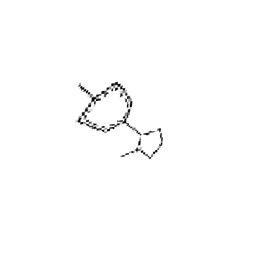 Cc1ccc(C2CCCN2C)cc1